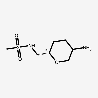 CS(=O)(=O)NC[C@@H]1CCC(N)CO1